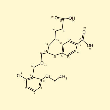 CCOc1cccc(Cl)c1COCC(CCCCC(=O)O)Cc1ccc(C(=O)O)cc1